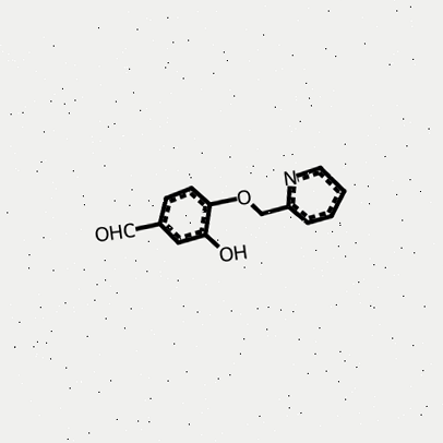 O=Cc1ccc(OCc2ccccn2)c(O)c1